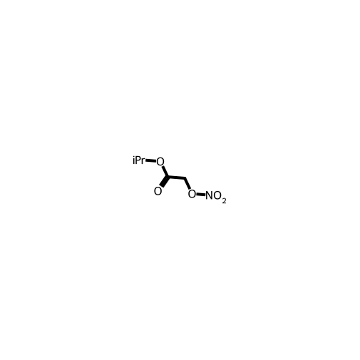 CC(C)OC(=O)CO[N+](=O)[O-]